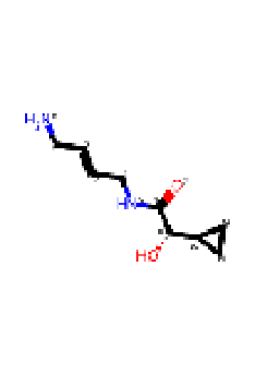 NCC=CCNC(=O)[C@@H](O)C1CC1